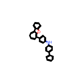 C1=CC(c2ccc(Nc3ccc(-c4ccccc4)cc3)cc2)=c2oc3ccccc3c2=CC1